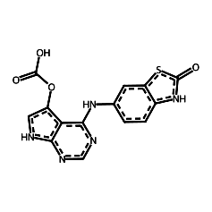 O=C(O)Oc1c[nH]c2ncnc(Nc3ccc4[nH]c(=O)sc4c3)c12